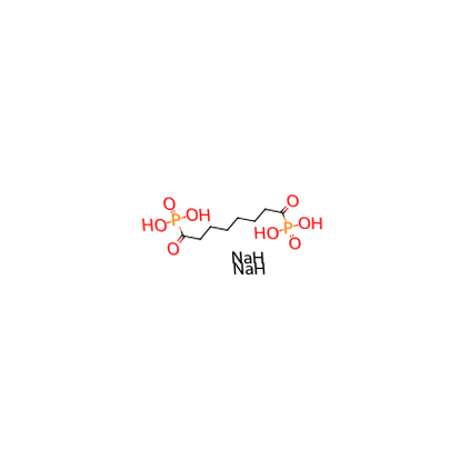 O=C(CCCCCCC(=O)P(=O)(O)O)P(=O)(O)O.[NaH].[NaH]